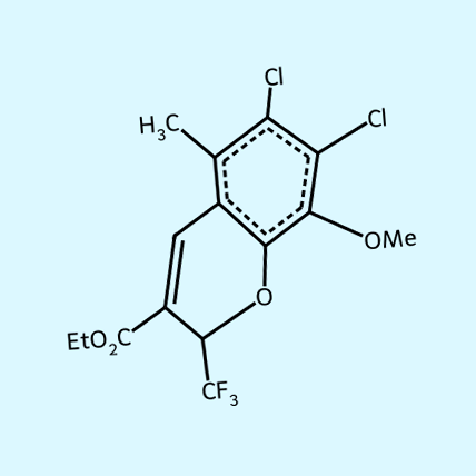 CCOC(=O)C1=Cc2c(C)c(Cl)c(Cl)c(OC)c2OC1C(F)(F)F